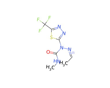 C/C=N\N(C(=O)NC)c1nnc(C(F)(F)F)s1